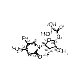 C[C@@H]1[C@@H](OC(=O)P(O)O)O[C@@H](n2cc(F)c(N)nc2=O)[C@H]1F